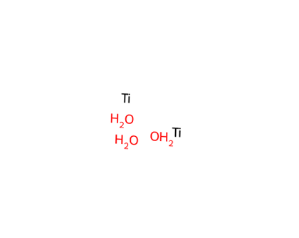 O.O.O.[Ti].[Ti]